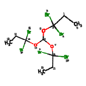 CCC(Br)(Br)OC(OC(Br)(Br)CC)OC(Br)(Br)CC